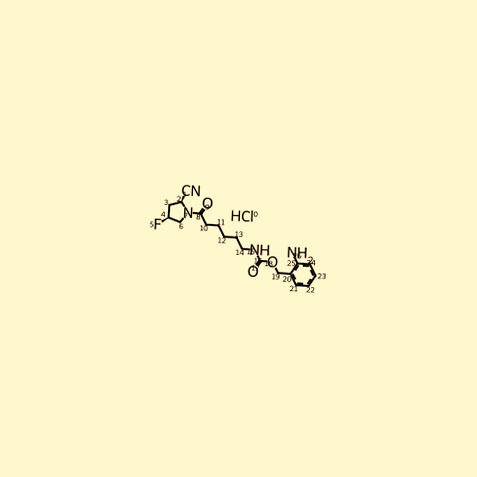 Cl.N#C[C@@H]1C[C@H](F)CN1C(=O)CCCCCNC(=O)OCc1ccccc1N